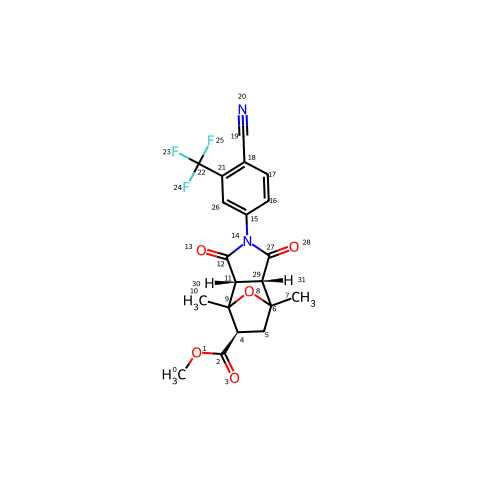 COC(=O)[C@@H]1CC2(C)OC1(C)[C@@H]1C(=O)N(c3ccc(C#N)c(C(F)(F)F)c3)C(=O)[C@@H]12